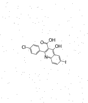 O=C(O)c1c(-c2ccc(Cl)cc2)nc2ccc(I)cc2c1O